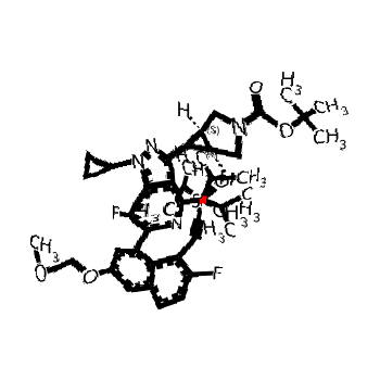 COCOc1cc(-c2nc(C(C)=O)c3c(C4[C@H]5CN(C(=O)OC(C)(C)C)C[C@@H]45)nn(C4CC4)c3c2F)c2c(C#C[Si](C(C)C)(C(C)C)C(C)C)c(F)ccc2c1